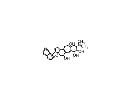 CN(C)[C@H]1C[C@]2(O)CCC3=C(C=C2[C@@H](O)[C@@H]1O)C(O)C[C@]1(C)C(c2cccc4ccncc24)=CCC31